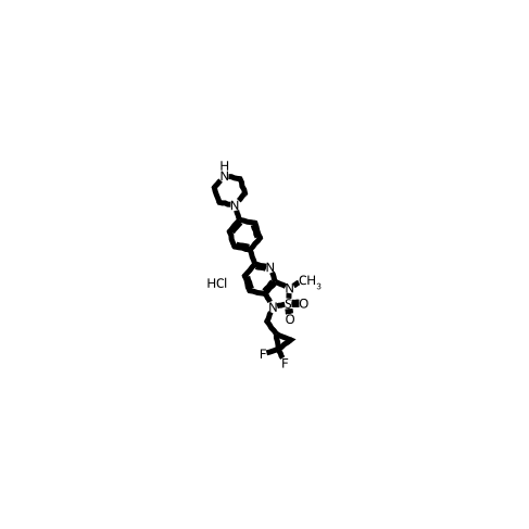 CN1c2nc(-c3ccc(N4CCNCC4)cc3)ccc2N(CC2CC2(F)F)S1(=O)=O.Cl